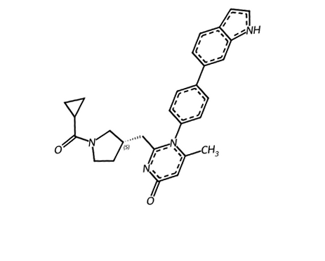 Cc1cc(=O)nc(C[C@@H]2CCN(C(=O)C3CC3)C2)n1-c1ccc(-c2ccc3cc[nH]c3c2)cc1